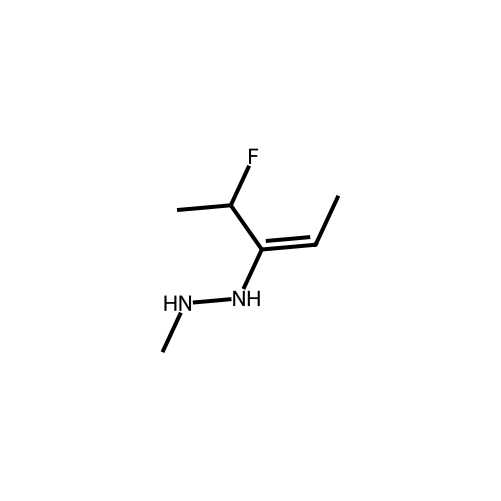 C/C=C(/NNC)C(C)F